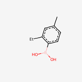 CCc1cc(C)ccc1B(O)O